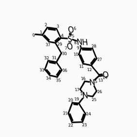 Cc1ccc(S(=O)(=O)Nc2ccc(C(=O)N3CCN(c4ccccc4)CC3)cc2)c(Cc2ccccc2)c1